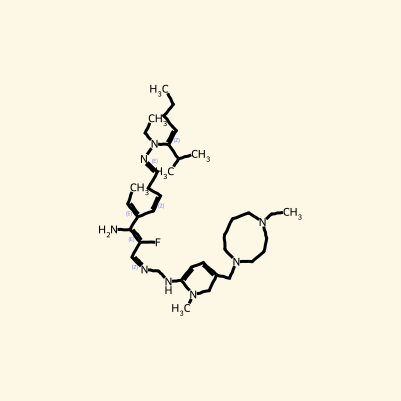 C/C=C(\C=C/C/C=N/N(CC)/C(=C\CCC)C(C)C)C(/N)=C(F)/C=N\CNC1=CC=C(CN2CCCCN(CC)CCC2)CN1C